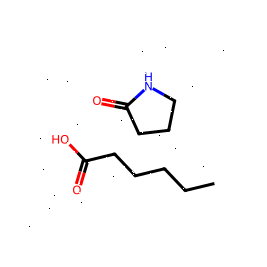 CCCCCC(=O)O.O=C1CCCN1